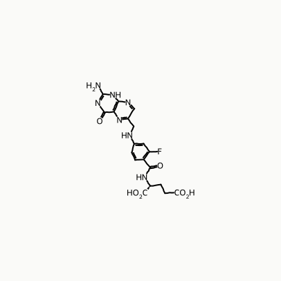 Nc1nc(=O)c2nc(CNc3ccc(C(=O)N[C@@H](CCC(=O)O)C(=O)O)c(F)c3)cnc2[nH]1